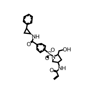 C=CC(=O)NC1CC(CO)N(S(=O)(=O)c2ccc(C(=O)N[C@@H]3CC3c3ccccc3)cc2)C1